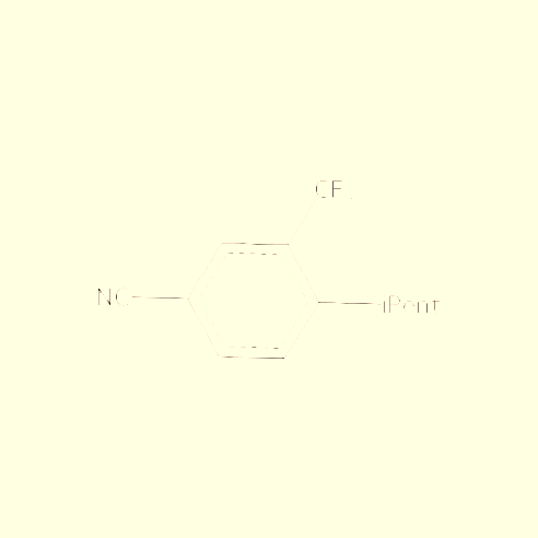 CCCC(C)c1ccc(C#N)cc1C(F)(F)F